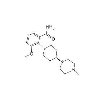 COc1cccc(C(N)=O)c1[C@H]1CC[C@H](N2CCN(C)CC2)CC1